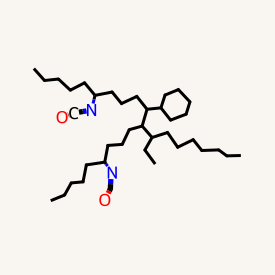 CCCCCCCC(CC)C(CCCC(CCCCC)N=C=O)C(CCCC(CCCCC)N=C=O)C1CCCCC1